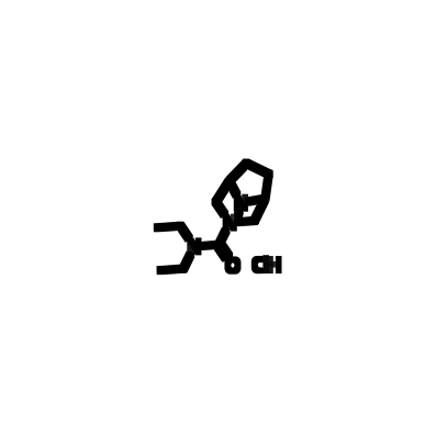 CCN(CC)C(=O)N1CC2CCC(C1)N2C.Cl